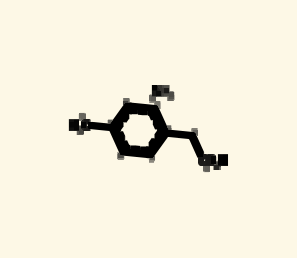 Cc1ccc(CC(=O)O)cc1.N